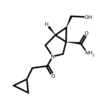 NC(=O)[C@@]12CN(C(=O)[CH]C3CC3)C[C@@H]1[C@H]2CO